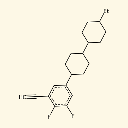 C#Cc1cc(C2CCC(C3CCC(CC)CC3)CC2)cc(F)c1F